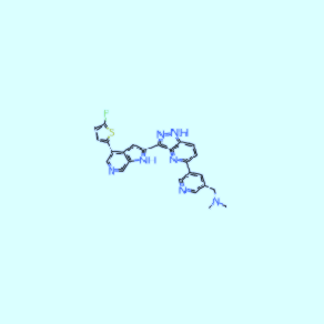 CN(C)Cc1cncc(-c2ccc3[nH]nc(-c4cc5c(-c6ccc(F)s6)cncc5[nH]4)c3n2)c1